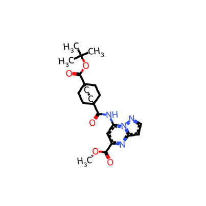 COC(=O)c1cc(NC(=O)C23CCC(C(=O)OC(C)(C)C)(CC2)CC3)n2nccc2n1